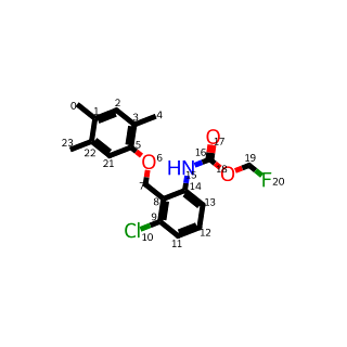 Cc1cc(C)c(OCc2c(Cl)cccc2NC(=O)OCF)cc1C